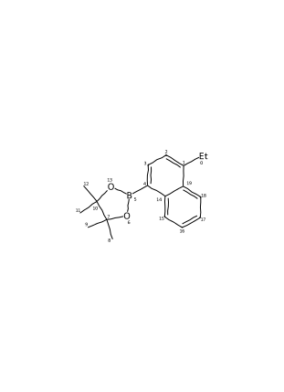 CCc1ccc(B2OC(C)(C)C(C)(C)O2)c2ccccc12